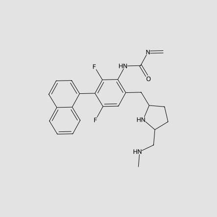 C=NC(=O)Nc1c(CC2CCC(CNC)N2)cc(F)c(-c2cccc3ccccc23)c1F